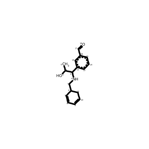 CC(O)C(NCC1C=CC=CC1)c1cccc(C=O)c1